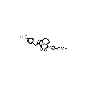 COC1CN(C(=O)C2CCCc3nn(Cc4ccc(C)cc4)c(=O)n32)C1